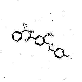 CC[C@@H](NC(=O)c1ccc(NCc2ccc(F)cc2)c([N+](=O)[O-])c1)c1ccccc1